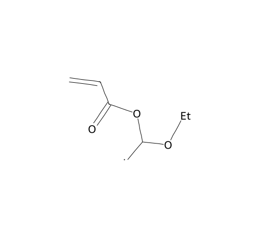 [CH2]C(OCC)OC(=O)C=C